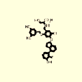 N#Cc1cc(C#N)cc(COc2cc(O[C@H]3CCc4c(-c5cccc(O)c5F)cccc43)c(Cl)cc2CN[C@@H](CO)C(=O)O)c1